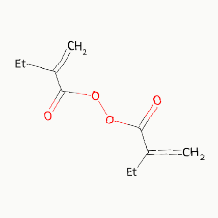 C=C(CC)C(=O)OOC(=O)C(=C)CC